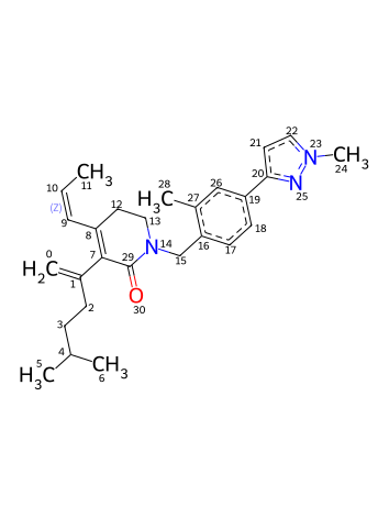 C=C(CCC(C)C)C1=C(/C=C\C)CCN(Cc2ccc(-c3ccn(C)n3)cc2C)C1=O